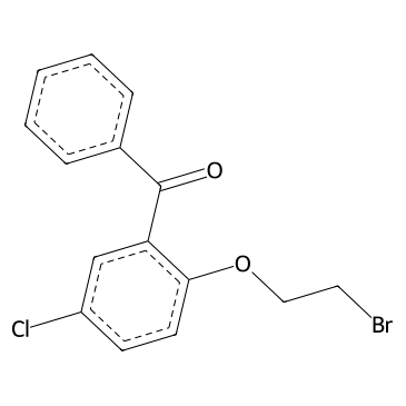 O=C(c1ccccc1)c1cc(Cl)ccc1OCCBr